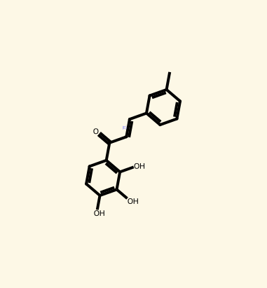 Cc1cccc(/C=C/C(=O)c2ccc(O)c(O)c2O)c1